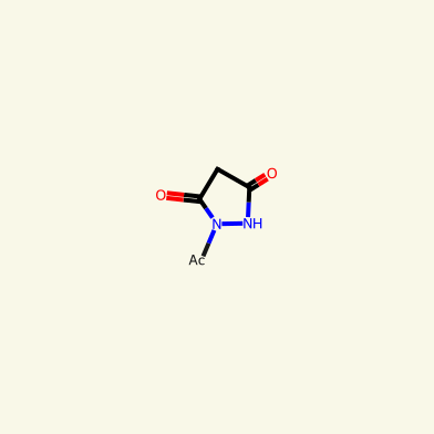 CC(=O)N1NC(=O)CC1=O